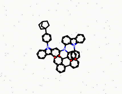 c1ccc(-c2cccc3cccc(-c4ccccc4N(c4ccc5c6ccccc6n(-c6ccc(C78CCC(CC7)C8)cc6)c5c4)c4cccc5c6ccccc6n(-c6ccccc6)c45)c23)cc1